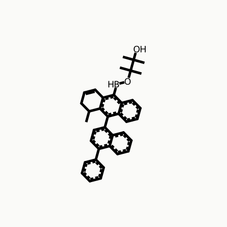 CC1CC=Cc2c1c(-c1ccc(-c3ccccc3)c3ccccc13)c1ccccc1c2BOC(C)(C)C(C)(C)O